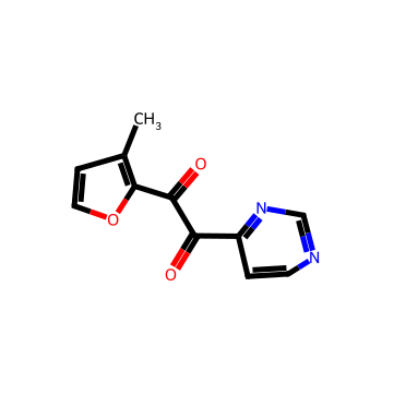 Cc1ccoc1C(=O)C(=O)c1ccncn1